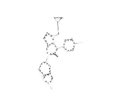 Cn1cc2cc(-n3nc4ccn(CC5CC5)c4c(-c4ccc(Cl)cc4)c3=O)ccc2n1